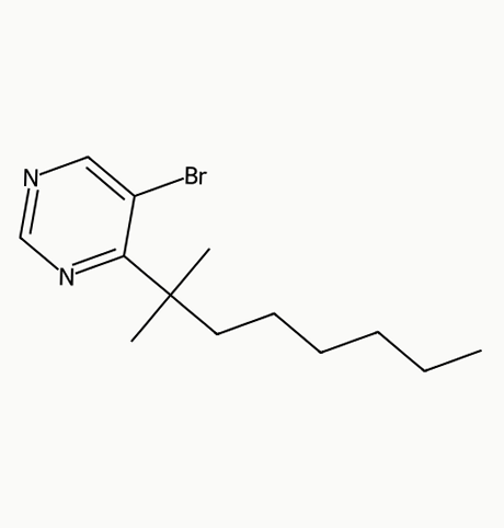 CCCCCCC(C)(C)c1ncncc1Br